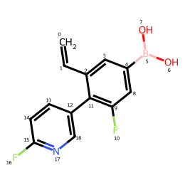 C=Cc1cc(B(O)O)cc(F)c1-c1ccc(F)nc1